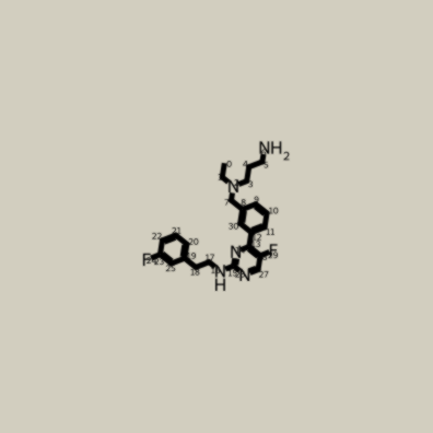 CCN(CCCN)Cc1cccc(-c2nc(NCCc3cccc(F)c3)ncc2F)c1